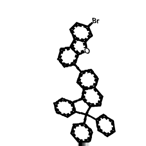 Brc1ccc2c(c1)oc1c(-c3ccc4ccc5c(c4c3)-c3ccccc3C5(c3ccccc3)c3ccccc3)cccc12